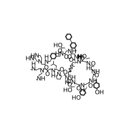 CNCCN(CCNC)CC(=O)CN[C@@H](CC(C)C)C(=O)N1CCC[C@H]1C(=O)N[C@H]1CSSC[C@@H](C(=O)N[C@@H](Cc2ccc(-c3ccccc3)cc2)C(=O)N[C@@H](CC(=O)O)C(=O)NCc2cccc(CNC(=O)CN(CCNC)CCNC)c2)NC(=O)[C@H](C(C)O)NC(=O)CNC(=O)[C@H](Cc2ccc(O)cc2)NC(=O)[C@H](Cc2ccc(O)cc2)NC(=O)[C@H](CC(=O)O)NC1=O